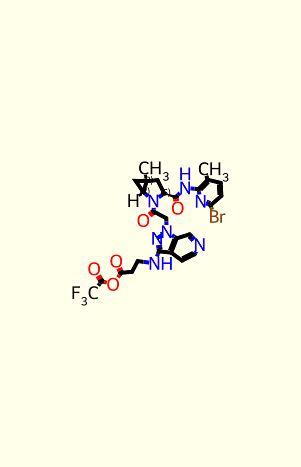 Cc1ccc(Br)nc1NC(=O)[C@@H]1C[C@@]2(C)C[C@H]2N1C(=O)Cn1nc(NCCC(=O)OC(=O)C(F)(F)F)c2ccncc21